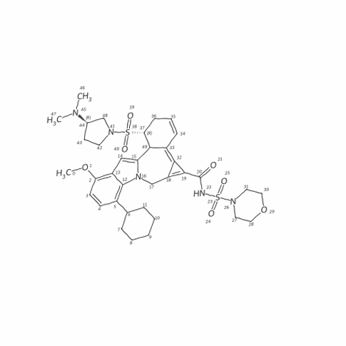 COc1ccc(C2CCCCC2)c2c1cc1n2CC2=C(C(=O)NS(=O)(=O)N3CCOCC3)C2=C2C=CC[C@@H](S(=O)(=O)N3CC[C@@H](N(C)C)C3)C21